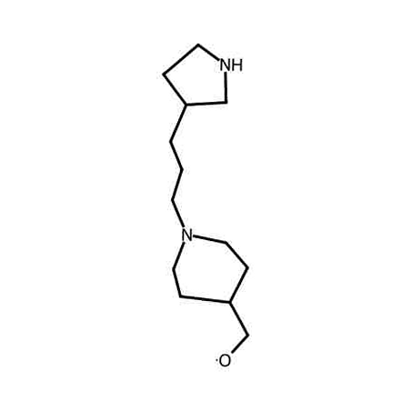 [O]CC1CCN(CCCC2CCNC2)CC1